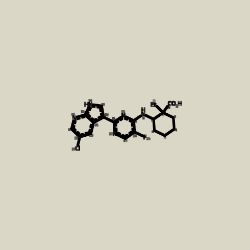 CCC1(C(=O)O)CCCCC1Nc1nc(-c2c[nH]c3ncc(Cl)cc23)ncc1F